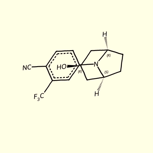 N#Cc1ccc(N2[C@@H]3CC[C@H]2C[C@@H](O)C3)cc1C(F)(F)F